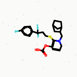 O=C(O)OC1=C(SCCC(F)(F)c2ccc(F)cc2)N(CC2CC3CCC2C3)CC=C1